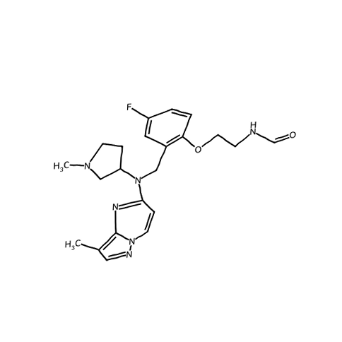 Cc1cnn2ccc(N(Cc3cc(F)ccc3OCCNC=O)C3CCN(C)C3)nc12